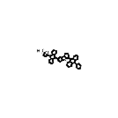 Cc1ccc(-c2c3ccccc3c(-c3ccc4c(c3)C3C=CC=C(c5c6ccccc6c(-c6ccccc6)c6ccccc56)C3S4)c3ccccc23)o1